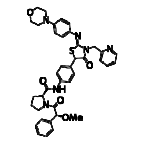 CO[C@H](C(=O)N1CCC[C@H]1C(=O)Nc1ccc(C2S/C(=N\c3ccc(N4CCOCC4)cc3)N(Cc3ccccn3)C2=O)cc1)c1ccccc1